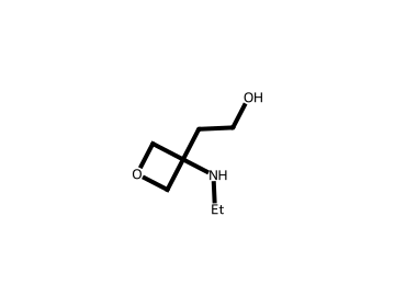 CCNC1(CCO)COC1